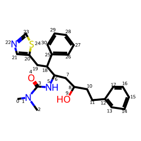 CN(C)C(=O)NC(CC(O)CCc1ccccc1)C(Cc1cncs1)c1ccccc1